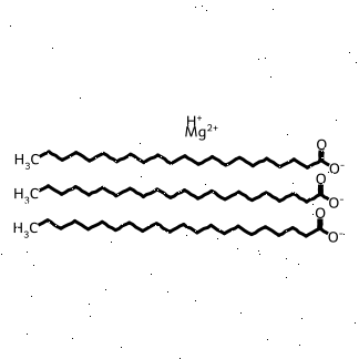 CCCCCCCCCCCCCCCCCCCCCC(=O)[O-].CCCCCCCCCCCCCCCCCCCCCC(=O)[O-].CCCCCCCCCCCCCCCCCCCCCC(=O)[O-].[H+].[Mg+2]